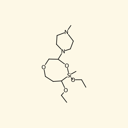 CCOC1CCOCC(N2CCN(C)CC2)O[Si]1(C)OCC